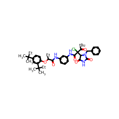 CCC(Oc1ccc(C(C)(C)CC)cc1C(C)(C)CC)C(=O)Nc1cccc(NC(=O)C(Cl)(C(=O)C(C)(C)C)C2C(=O)NC(=O)N2Cc2ccccc2)c1